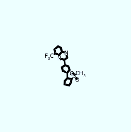 CS(=O)(=O)c1ccccc1-c1ccc(-c2cnc3cccc(C(F)(F)F)c3n2)cc1